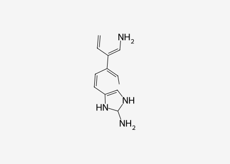 C=CC(=C\N)/C(/C=C\C1=CNC(N)N1)=C/C